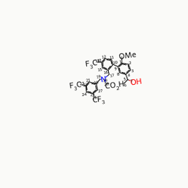 COc1ccc(C(C)O)cc1-c1ccc(C(F)(F)F)cc1CN(Cc1cc(C(F)(F)F)cc(C(F)(F)F)c1)C(=O)O